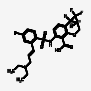 CCN(CC)CC=Cc1cc(F)ccc1S(=O)(=O)Nc1ccc2c(c1C(=O)O)OC[C@@H]1[C@H]2C1(F)F